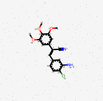 COc1cc(C(C#N)=Cc2ccc(Cl)c(N)c2)cc(OC)c1OC